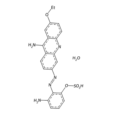 CCOc1ccc2nc3cc(N=Nc4c(N)cccc4OS(=O)(=O)O)ccc3c(N)c2c1.O